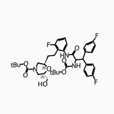 CC(C)(C)OC(=O)NC(C(=O)Nc1cccc(F)c1CC[C@@H]1CN(C(=O)OC(C)(C)C)C[C@@H](CO)O1)C(c1ccc(F)cc1)c1ccc(F)cc1